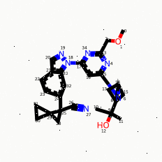 COCc1nc(N2CC3(C(C)(C)O)CC2C3)cc(-n2ncc3ccc(C4(C#N)CC45CC5)cc32)n1